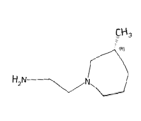 C[C@@H]1CCCN(CCN)C1